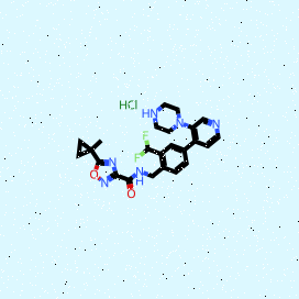 CC1(c2nc(C(=O)NCc3ccc(-c4ccncc4N4CCNCC4)cc3C(F)F)no2)CC1.Cl